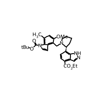 CCOC(=O)c1ccc([C@@H]2CCCCN2Cc2c(OC)cc(C)c3c2ccn3C(=O)OC(C)(C)C)c2[nH]ncc12